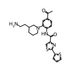 CC(=O)c1ccc(NC(=O)c2csc(-c3cccs3)n2)c(N2CCCC(CCN)C2)c1